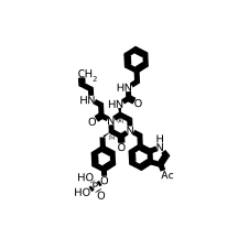 C=CCNCC(=O)N1[C@@H](NC(=O)NCc2ccccc2)CN(Cc2cccc3c(C(C)=O)c[nH]c23)C(=O)[C@@H]1Cc1ccc(OP(=O)(O)O)cc1